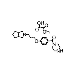 O=C(O)C(=O)O.O=C(c1ccc(OCCCN2CC3CCCC3C2)cc1)N1CCNCC1